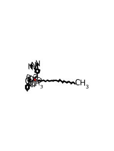 CCCCCCCCCCCCCCCCCCOC[C@H](COP(=O)(OC)Oc1ccccc1Cl)OCc1ccc(C#N)c(-n2cncn2)c1